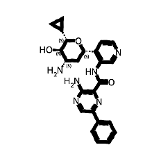 Nc1ncc(-c2ccccc2)nc1C(=O)Nc1cnccc1[C@@H]1C[C@H](N)[C@@H](O)[C@H](C2CC2)O1